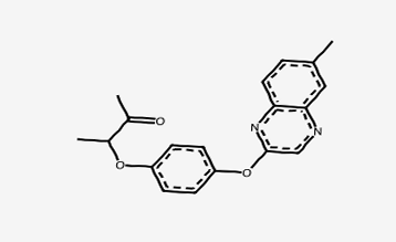 CC(=O)C(C)Oc1ccc(Oc2cnc3cc(C)ccc3n2)cc1